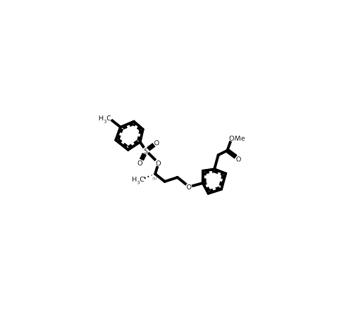 COC(=O)Cc1cccc(OCC[C@H](C)OS(=O)(=O)c2ccc(C)cc2)c1